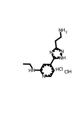 CCNc1cc(-c2nc(CCN)n[nH]2)ccn1.Cl.Cl